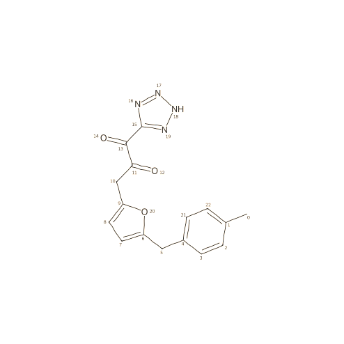 Cc1ccc(Cc2ccc(CC(=O)C(=O)c3nn[nH]n3)o2)cc1